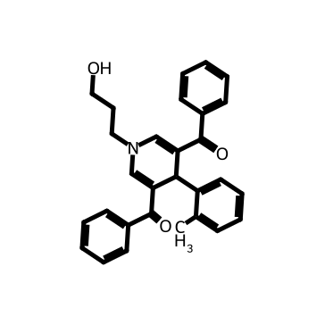 Cc1ccccc1C1C(C(=O)c2ccccc2)=CN(CCCO)C=C1C(=O)c1ccccc1